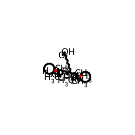 CC1(C)CC(OC(=O)C(CCCCCCCC(=O)O)C2CC(C)(C)N(OC3CCCCCCCCCCC3)C(C)(C)C2)CC(C)(C)N1OC1CCCCCCCCCCC1